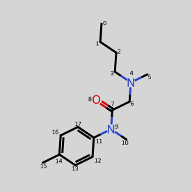 CCCCN(C)CC(=O)N(C)c1ccc(C)cc1